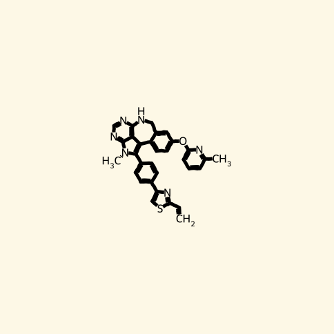 C=Cc1nc(-c2ccc(-c3c4c5c(ncnc5n3C)NCc3cc(Oc5cccc(C)n5)ccc3-4)cc2)cs1